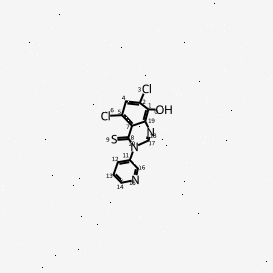 Oc1c(Cl)cc(Cl)c2c(=S)n(-c3cccnc3)cnc12